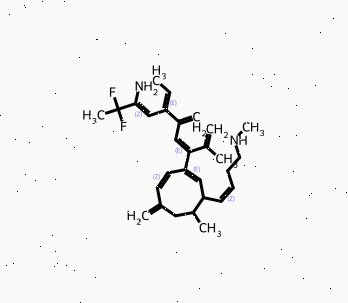 C=C1\C=C/C(C(=C/C(=C)C(/C=C(\N)C(C)(F)F)=C/C)/C(=C)C)=C\C(/C=C\CCNC)C(C)C1